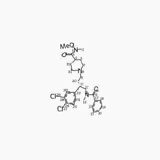 CON(C)C(=O)C1CCN(CC[C@H](CN(C)C(=O)c2ccccc2)c2ccc(Cl)c(Cl)c2)CC1